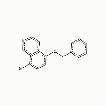 Brc1ccc(OCc2ccccc2)c2ccncc12